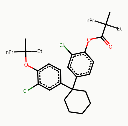 CCCC(C)(CC)Oc1ccc(C2(c3ccc(OC(=O)C(C)(CC)CCC)c(Cl)c3)CCCCC2)cc1Cl